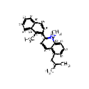 Cc1c(-c2ccc3c(CC(C)C)cccc3[n+]2C)ccc2ccccc12